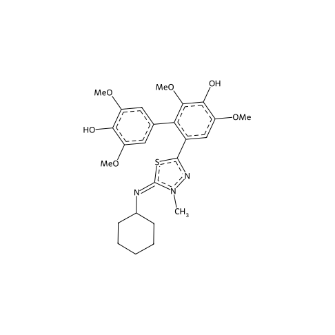 COc1cc(-c2c(-c3nn(C)c(=NC4CCCCC4)s3)cc(OC)c(O)c2OC)cc(OC)c1O